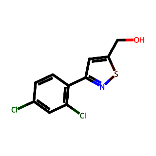 OCc1cc(-c2ccc(Cl)cc2Cl)ns1